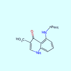 CCCCCNc1cccc2[nH]cc(C(=O)O)c(=O)c12